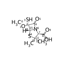 CO[C@@]1(S)C(=O)N2[C@@H](C(=O)O)C(C)(C)S[C@@H]21